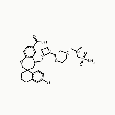 C[C@@H](CS(N)(=O)=O)O[C@@H]1CCO[C@H]([C@@H]2CC[C@H]2CN2CC3(CCCc4cc(Cl)ccc43)COc3ccc(C(=O)O)cc32)C1